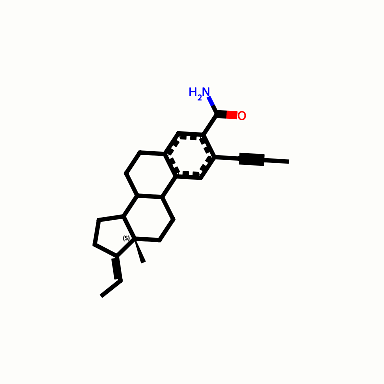 CC#Cc1cc2c(cc1C(N)=O)CCC1C2CC[C@]2(C)C(=CC)CCC12